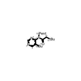 CCCCc1cncnc1N(C(=O)CC(C)(C)C)C(C)CCC